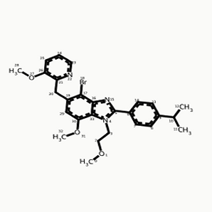 COCCn1c(-c2ccc(C(C)C)cc2)nc2c(Br)c(Cc3ncccc3OC)cc(OC)c21